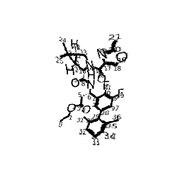 CCOC(=O)C[C@H](NC(=O)[C@@H]1[C@@H]2[C@H](CN1C(=O)c1coc(C)n1)C2(C)C)c1cc(-c2c(C)cccc2C)cc(F)c1F